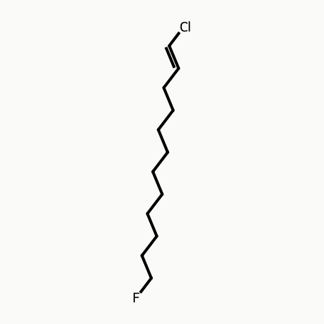 FCCCCCCCCCCC=CCl